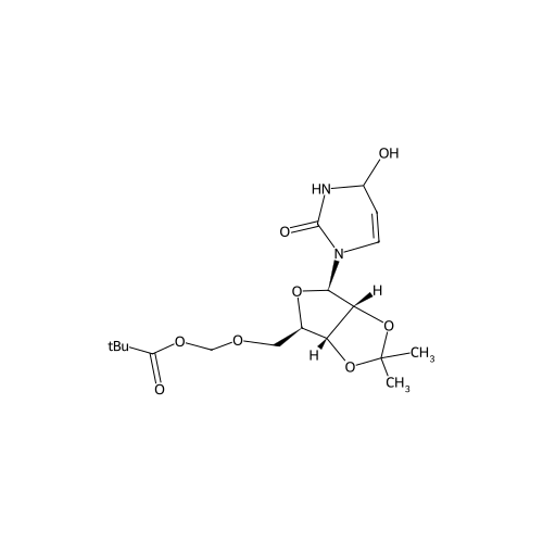 CC1(C)O[C@@H]2[C@H](O1)[C@@H](COCOC(=O)C(C)(C)C)O[C@H]2N1C=CC(O)NC1=O